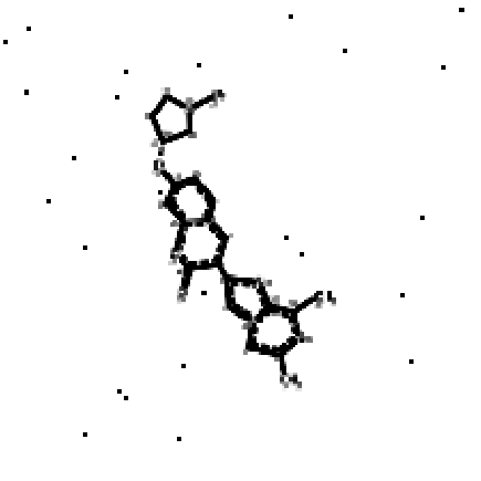 Cc1cn2cc(-c3cc4ccc(O[C@@H]5CCN(C(C)C)C5)cc4oc3=O)nc2c(C)n1